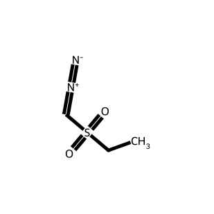 CCS(=O)(=O)C=[N+]=[N-]